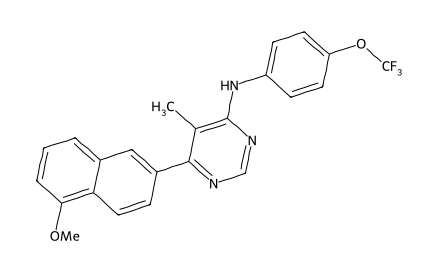 COc1cccc2cc(-c3ncnc(Nc4ccc(OC(F)(F)F)cc4)c3C)ccc12